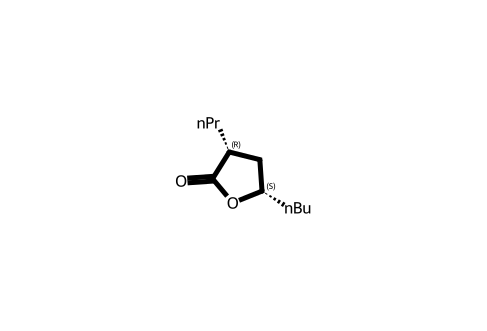 CCCC[C@H]1C[C@@H](CCC)C(=O)O1